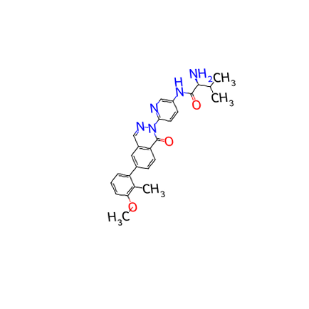 COc1cccc(-c2ccc3c(=O)n(-c4ccc(NC(=O)[C@@H](N)C(C)C)cn4)ncc3c2)c1C